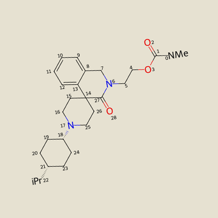 CNC(=O)OCCN1Cc2ccccc2C2(CCN([C@H]3CC[C@@H](C(C)C)CC3)CC2)C1=O